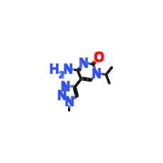 CC(C)n1cc(-c2cn(C)nn2)c(N)nc1=O